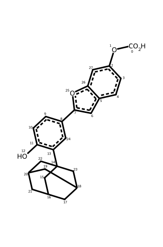 O=C(O)Oc1ccc2cc(-c3ccc(O)c(C45CC6CC(CC(C6)C4)C5)c3)oc2c1